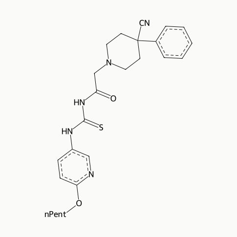 CCCCCOc1ccc(NC(=S)NC(=O)CN2CCC(C#N)(c3ccccc3)CC2)cn1